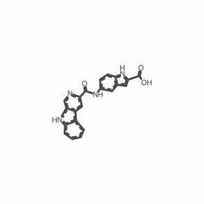 O=C(Nc1ccc2[nH]c(C(=O)O)cc2c1)c1cc2c(cn1)[nH]c1ccccc12